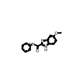 COc1ccc2[nH]c(C(=O)Nc3ccccc3)nc2c1